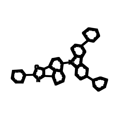 c1ccc(-c2ccc3c(c2)c2cc(-c4ccccc4)ccc2n3-c2ccc3c4c(cccc24)-c2nc(-c4ccccc4)oc2-3)cc1